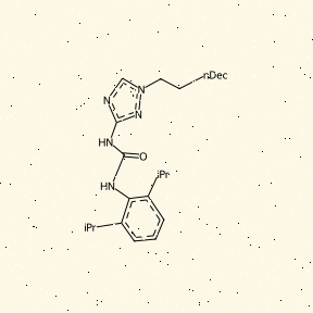 CCCCCCCCCCCCn1cnc(NC(=O)Nc2c(C(C)C)cccc2C(C)C)n1